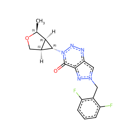 C[C@@H]1OC[C@H]2[C@@H]1[C@@H]2n1nnc2cn(Cc3c(F)cccc3F)nc2c1=O